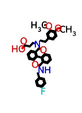 COc1ccc(CCN(CCC(=O)O)C(=O)c2ccccc2-c2ccccc2C(=O)NCc2ccc(F)cc2)cc1OC